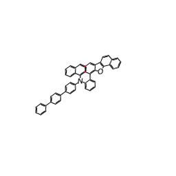 c1ccc(-c2ccc(-c3ccc(N(c4ccccc4-c4cccc5c4oc4c6ccccc6ccc54)c4cccc5ccccc45)cc3)cc2)cc1